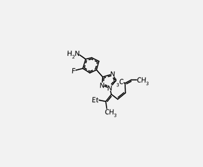 C\C=C(/C=C\C(=C(/C)CC)n1cnc(-c2ccc(N)c(F)c2)n1)C(F)(F)F